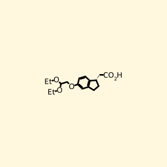 CCOC(COc1ccc2c(c1)CC[C@H]2CC(=O)O)OCC